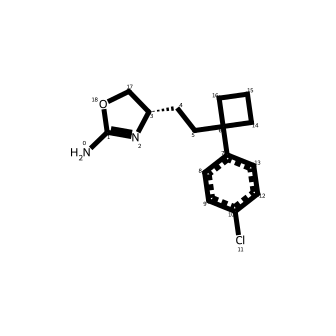 NC1=N[C@@H](CCC2(c3ccc(Cl)cc3)CCC2)CO1